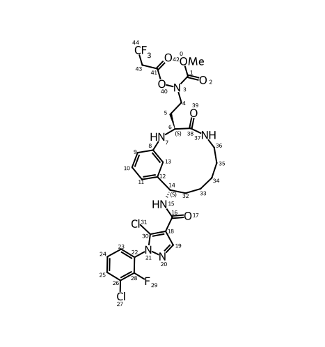 COC(=O)N(CC[C@@H]1Nc2cccc(c2)[C@@H](NC(=O)c2cnn(-c3cccc(Cl)c3F)c2Cl)CCCCCNC1=O)OC(=O)CC(F)(F)F